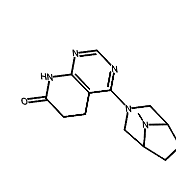 CN1C2CCC1CN(c1ncnc3c1CCC(=O)N3)C2